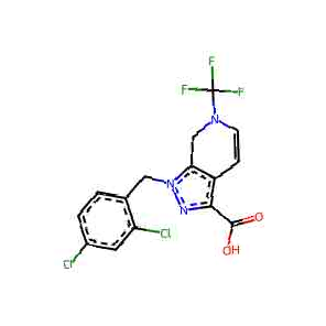 O=C(O)c1nn(Cc2ccc(Cl)cc2Cl)c2c1C=CN(C(F)(F)F)C2